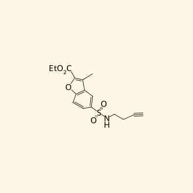 C#CCCNS(=O)(=O)c1ccc2oc(C(=O)OCC)c(C)c2c1